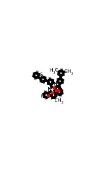 Cc1cc(C)cc(-c2ccc3c4ccc(-c5cc(C)cc(C)c5)cc4n(-c4ccc(-c5ccc6c(c5)sc5ccccc56)cc4-c4nc(-c5ccccc5)nc(-c5ccccc5)n4)c3c2)c1